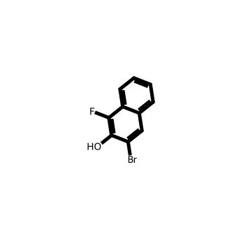 Oc1c(Br)cc2ccccc2c1F